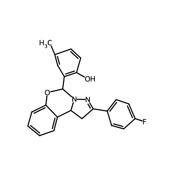 Cc1ccc(O)c(C2Oc3ccccc3C3CC(c4ccc(F)cc4)=NN32)c1